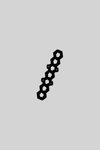 c1ccc2cc3oc4cc5oc6cc7ccccc7cc6oc5cc4oc3cc2c1